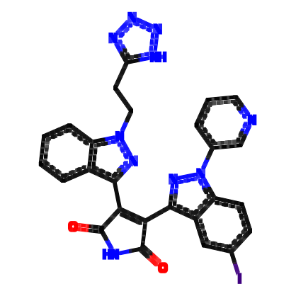 O=C1NC(=O)C(c2nn(-c3cccnc3)c3ccc(I)cc23)=C1c1nn(CCc2nnn[nH]2)c2ccccc12